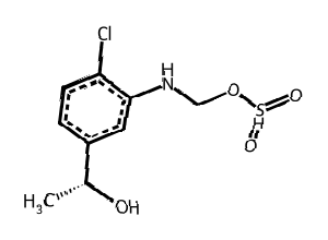 C[C@@H](O)c1ccc(Cl)c(NCO[SH](=O)=O)c1